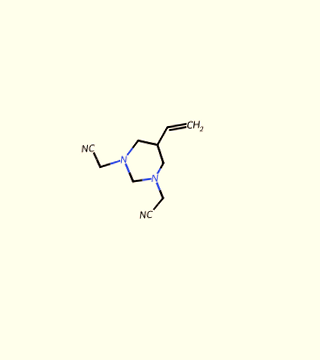 C=CC1CN(CC#N)CN(CC#N)C1